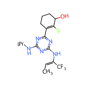 CC=C(Nc1nc(NC(C)C)nc(C2=C(F)C(O)CCC2)n1)C(F)(F)F